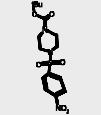 CC(C)(C)OC(=O)N1CCN(S(=O)(=O)c2ccc([N+](=O)[O-])cc2)CC1